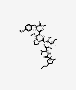 CCCC1CN(C)[C@@](C)(C(=O)N[C@H](C(=O)N(C)[C@@H]([C@@H](C)CC)[C@@H](CC(=O)N2CCC[C@H]2[C@H](OC)[C@@H](C)C(=O)N[C@@H](Cc2ccc(N)cc2)C(=O)OC)OC)C(C)C)C1